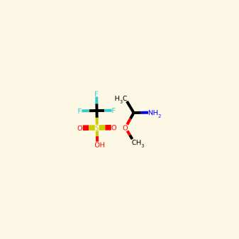 COC(C)N.O=S(=O)(O)C(F)(F)F